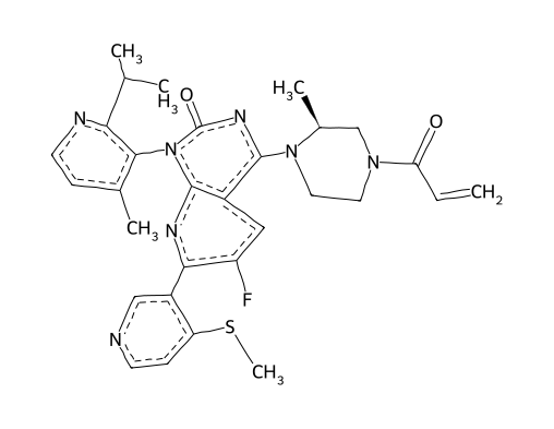 C=CC(=O)N1CCN(c2nc(=O)n(-c3c(C)ccnc3C(C)C)c3nc(-c4cnccc4SC)c(F)cc23)[C@@H](C)C1